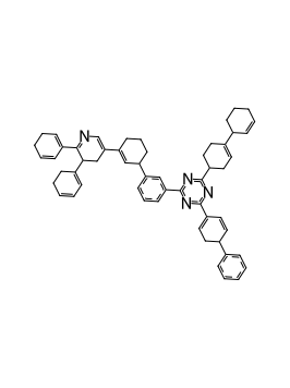 C1=CCCC(C2CC(C3=CC(c4cccc(-c5nc(C6=CCC(c7ccccc7)C=C6)nc(C6CC=C(C7C=CCCC7)CC6)n5)c4)CCC3)=CN=C2C2=CCCC=C2)=C1